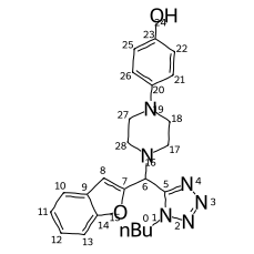 CCCCn1nnnc1C(c1cc2ccccc2o1)N1CCN(c2ccc(O)cc2)CC1